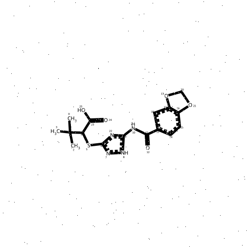 CC(C)(C)C(Sc1n[nH]c(NC(=O)c2ccc3c(c2)OCO3)n1)C(=O)O